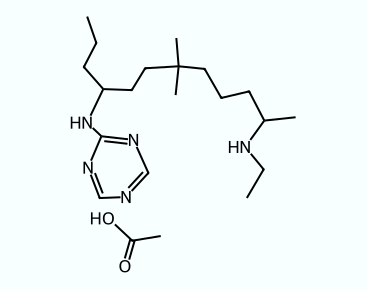 CC(=O)O.CCCC(CCC(C)(C)CCCC(C)NCC)Nc1ncncn1